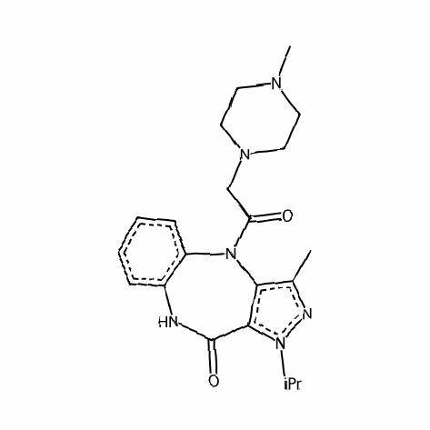 Cc1nn(C(C)C)c2c1N(C(=O)CN1CCN(C)CC1)c1ccccc1NC2=O